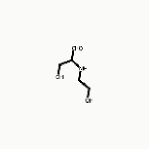 O=CC(CO)NCCO